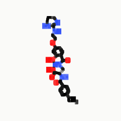 Cc1ccc(C(=O)N[C@@H](CNC(=O)c2ccc(OCCNC3=NCCCN3)cc2O)C(=O)O)cc1